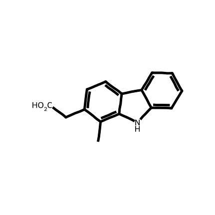 Cc1c(CC(=O)O)ccc2c1[nH]c1ccccc12